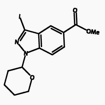 COC(=O)c1ccc2c(c1)c(I)nn2C1CCCCO1